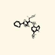 [C-]#[N+]c1ccc(N[C@@H](c2nnc(-c3ccccc3)o2)[C@H](C)O)c2ccsc12